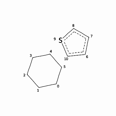 C1CCCCC1.c1ccsc1